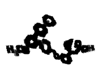 COc1ccc(-c2ccc(N3CCCCC3)cc2)c(N2CCC(COc3cccc(C(CC(=O)O)C4CC4)c3)CC2)c1